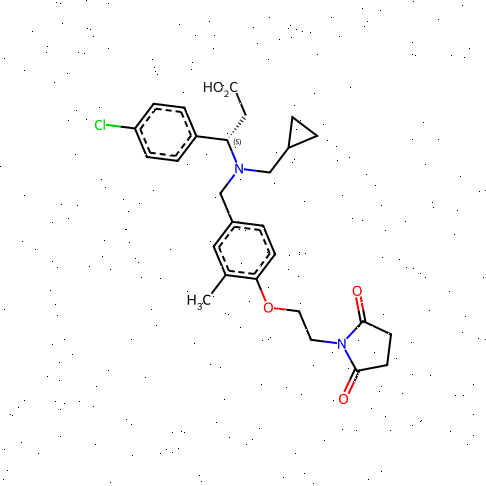 Cc1cc(CN(CC2CC2)[C@@H](CC(=O)O)c2ccc(Cl)cc2)ccc1OCCN1C(=O)CCC1=O